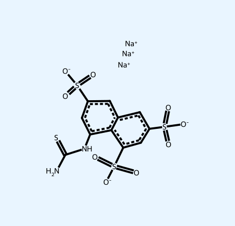 NC(=S)Nc1cc(S(=O)(=O)[O-])cc2cc(S(=O)(=O)[O-])cc(S(=O)(=O)[O-])c12.[Na+].[Na+].[Na+]